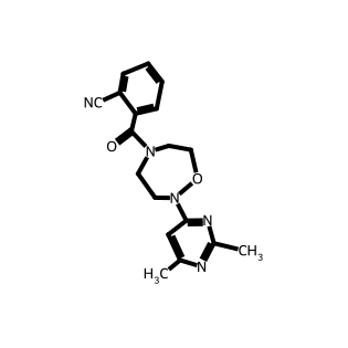 Cc1cc(N2CCN(C(=O)c3ccccc3C#N)CCO2)nc(C)n1